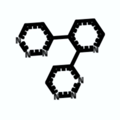 c1cnc(-c2ccnnn2)c(-c2ccnnn2)c1